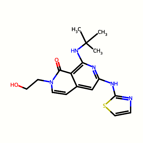 CC(C)(C)Nc1nc(Nc2nccs2)cc2ccn(CCO)c(=O)c12